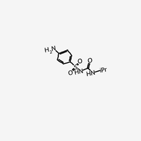 CC(C)NC(=O)NS(=O)(=O)c1ccc(N)cc1